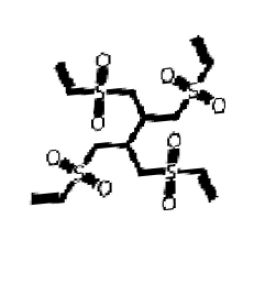 C=CS(=O)(=O)CC(CS(=O)(=O)C=C)C(CS(=O)(=O)C=C)CS(=O)(=O)C=C